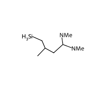 CNC(CC(C)C[SiH3])NC